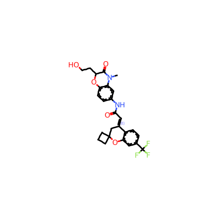 CN1C(=O)C(CCO)Oc2ccc(NC(=O)/C=C3\CC4(CCC4)Oc4cc(C(F)(F)F)ccc43)cc21